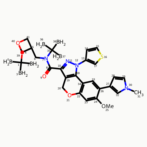 BC(B)(B)OC1(CN(C(=O)c2nn(-c3ccsc3)c3c2COc2cc(OC)c(-c4ccn(C)c4)cc2-3)C(B)(B)B)COC1